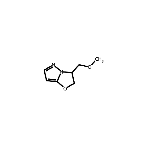 COCC1COc2ccnn21